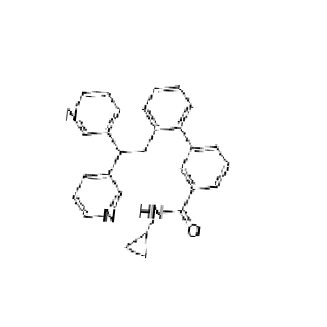 O=C(NC1CC1)c1cccc(-c2ccccc2CC(c2cccnc2)c2cccnc2)c1